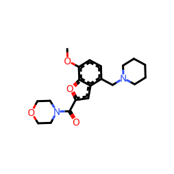 COc1ccc(CN2CCCCC2)c2cc(C(=O)N3CCOCC3)oc12